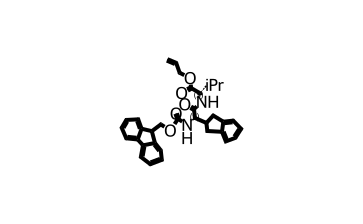 C=CCOC(=O)[C@@H](NC(=O)[C@@H](NC(=O)OCC1c2ccccc2-c2ccccc21)C1Cc2ccccc2C1)C(C)C